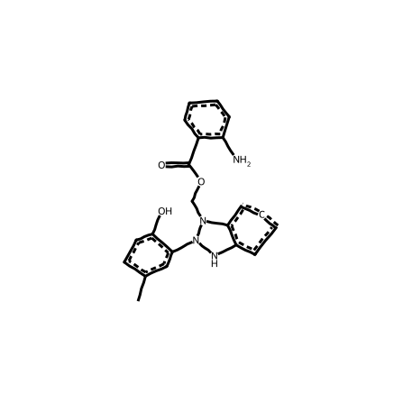 Cc1ccc(O)c(N2Nc3ccccc3N2COC(=O)c2ccccc2N)c1